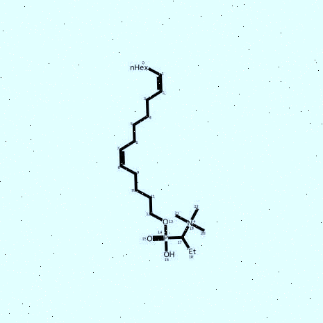 CCCCCC/C=C\CCCC/C=C\CCCCOP(=O)(O)C(CC)[N+](C)(C)C